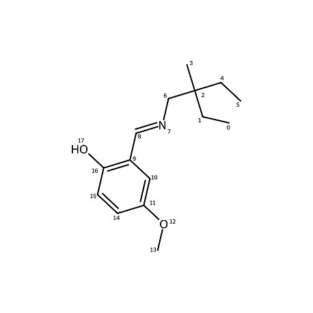 CCC(C)(CC)CN=Cc1cc(OC)ccc1O